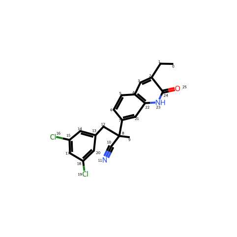 CCc1cc2ccc(C(C)(C#N)Cc3cc(Cl)cc(Cl)c3)cc2[nH]c1=O